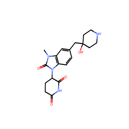 Cn1c(=O)n(C2CCC(=O)NC2=O)c2ccc(CC3(O)CCNCC3)cc21